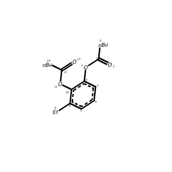 CCCCC(=O)Oc1cccc(CC)c1OC(=O)CCCC